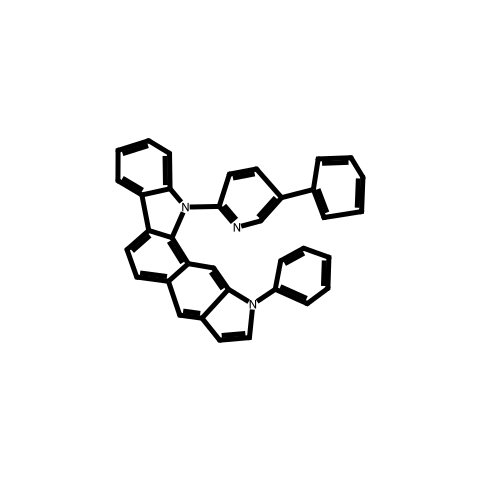 c1ccc(-c2ccc(-n3c4ccccc4c4ccc5cc6ccn(-c7ccccc7)c6cc5c43)nc2)cc1